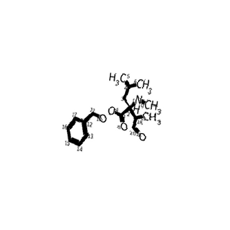 CN[C@@](CC(C)C)(C(=O)OOCc1ccccc1)C(C)C=O